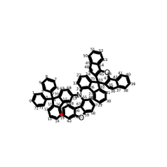 c1ccc(C2(c3ccccc3)c3ccccc3-c3cc(N(c4cccc5c4-c4ccccc4C54c5ccc6ccccc6c5Oc5c4ccc4ccccc54)c4cccc5oc6ccccc6c45)ccc32)cc1